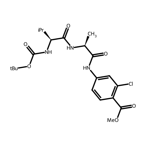 COC(=O)c1ccc(NC(=O)[C@H](C)NC(=O)[C@@H](NC(=O)OC(C)(C)C)C(C)C)cc1Cl